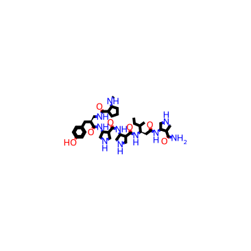 CCC(C)[C@@H](CC(=O)NC1CNCC1C(N)=O)NC(=O)C1CNCC1NC(=O)C1CNCC1NC(=O)[C@H](CNC(=O)C1CCCC1NC)Cc1ccc(O)cc1